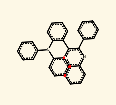 c1ccc(-c2nc3ccccc3nc2-c2ccccc2N(c2ccccc2)c2ccccc2)cc1